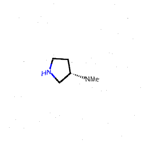 C[N][C@H]1CCNC1